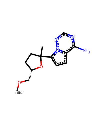 CCCCOC[C@@H]1CCC(C)(c2ccc3c(N)ncnn23)O1